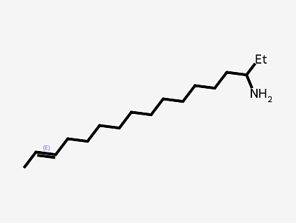 C/C=C/CCCCCCCCCCCC(N)CC